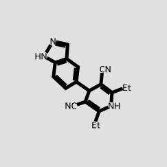 CCC1=C(C#N)C(c2ccc3[nH]ncc3c2)C(C#N)=C(CC)N1